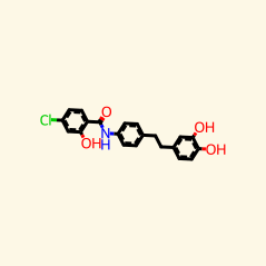 O=C(Nc1ccc(CCc2ccc(O)c(O)c2)cc1)c1ccc(Cl)cc1O